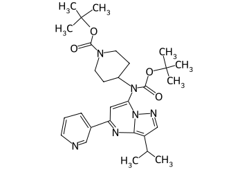 CC(C)c1cnn2c(N(C(=O)OC(C)(C)C)C3CCN(C(=O)OC(C)(C)C)CC3)cc(-c3cccnc3)nc12